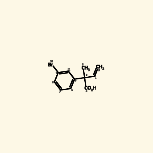 C=CC(C)(C(=O)O)c1cccc(Br)c1